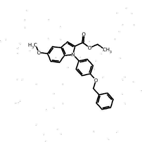 CCOC(=O)c1cc2cc(OC)ccc2n1-c1ccc(OCc2ccccc2)cc1